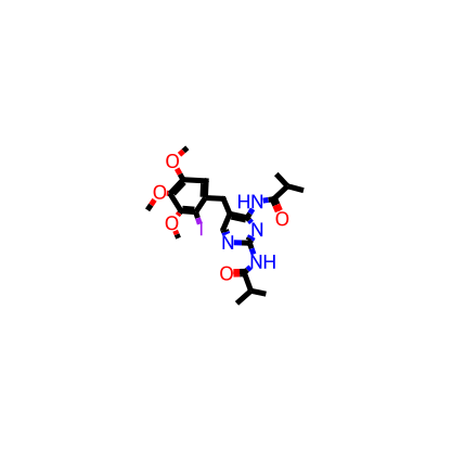 COc1cc(Cc2cnc(NC(=O)C(C)C)nc2NC(=O)C(C)C)c(I)c(OC)c1OC